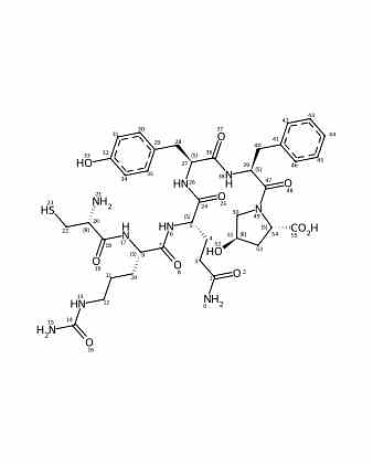 NC(=O)CC[C@H](NC(=O)[C@H](CCCNC(N)=O)NC(=O)[C@@H](N)CS)C(=O)N[C@@H](Cc1ccc(O)cc1)C(=O)N[C@@H](Cc1ccccc1)C(=O)N1C[C@H](O)C[C@H]1C(=O)O